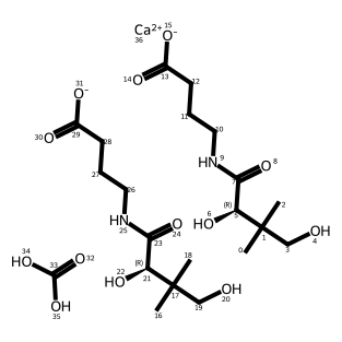 CC(C)(CO)[C@@H](O)C(=O)NCCCC(=O)[O-].CC(C)(CO)[C@@H](O)C(=O)NCCCC(=O)[O-].O=C(O)O.[Ca+2]